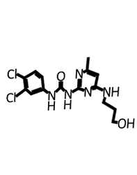 Cc1cc(NCCCO)nc(NC(=O)Nc2ccc(Cl)c(Cl)c2)n1